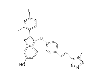 Cc1cc(F)ccc1-c1sc2cc(O)ccc2c1Oc1ccc(C=Cc2nnnn2C)cc1